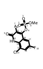 COS(=O)(=O)Oc1c(C(C)=O)c(=O)[nH]c2c(Cl)cc(F)cc12